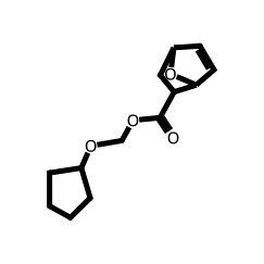 O=C(OCOC1CCCC1)C1CC2C=CC1O2